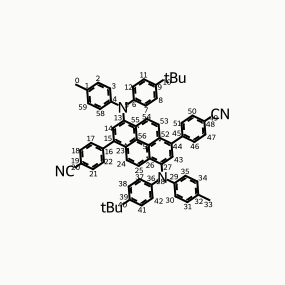 Cc1ccc(N(c2ccc(C(C)(C)C)cc2)c2cc(-c3ccc(C#N)cc3)c3ccc4c(N(c5ccc(C)cc5)c5ccc(C(C)(C)C)cc5)cc(-c5ccc(C#N)cc5)c5ccc2c3c54)cc1